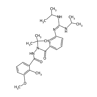 COc1cccc(C(=O)NN(C(=O)c2cccc(N=C(NC(C)C)NC(C)C)c2)C(C)(C)C)c1C